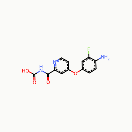 Nc1ccc(Oc2ccnc(C(=O)NC(=O)O)c2)cc1F